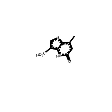 Cc1cc(=O)[nH]c2c(C(=O)O)csc12